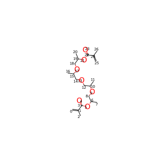 C=C(C)C(=O)OC(C)COC(C)COCC(C)OCC(C)OC(=O)C(=C)C